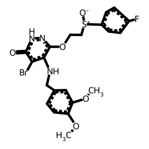 COc1ccc(CNc2c(OCC[S+]([O-])c3ccc(F)cc3)n[nH]c(=O)c2Br)cc1OC